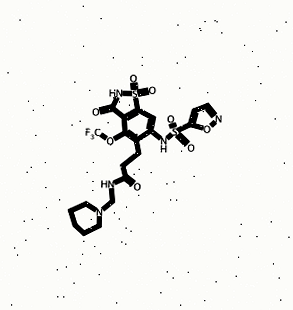 O=C(CCc1c(NS(=O)(=O)c2ccno2)cc2c(c1OC(F)(F)F)C(=O)NS2(=O)=O)NCN1CCCCC1